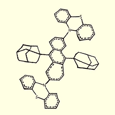 c1ccc2c(c1)Sc1ccccc1N2c1ccc2c(C34CC5CC(CC(C5)C3)C4)c3cc(N4c5ccccc5Sc5ccccc54)ccc3c(C34CC5CC(CC(C5)C3)C4)c2c1